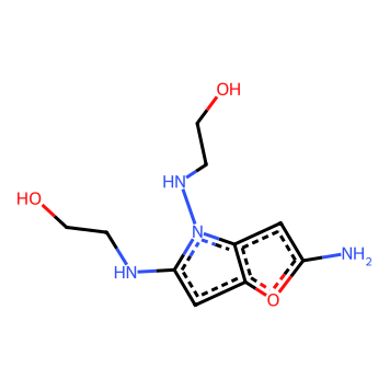 Nc1cc2c(cc(NCCO)n2NCCO)o1